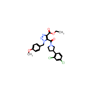 CCOC(=O)c1nnn(Cc2ccc(OC)cc2)c1C(=O)N1CCC(c2ccc(Cl)cc2Cl)C1